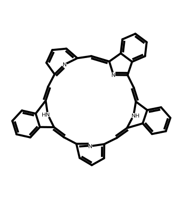 c1ccc2c(c1)-c1cc3cccc(cc4[nH]c(cc5cccc(cc6[nH]c(cc-2n1)c1ccccc61)n5)c1ccccc41)n3